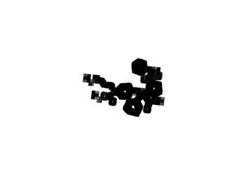 CC(=O)N(CCCN)c1ccc(NC(=C2C(=O)Nc3ccc(S(=O)(=O)Nc4ccccc4)cc32)c2ccccc2)cc1